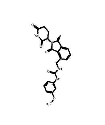 COc1cccc(NC(=O)NCc2cccc3c2C(=O)N(C2CCC(=O)NC2=O)C3=O)c1